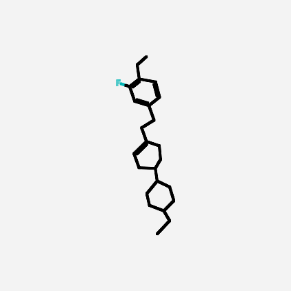 CCc1ccc(CCC2=CCC(C3CCC(CC)CC3)CC2)cc1F